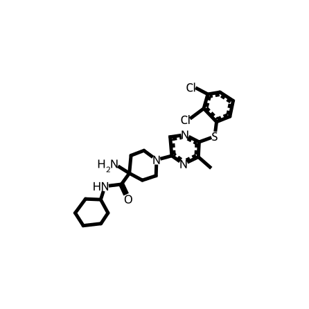 Cc1nc(N2CCC(N)(C(=O)NC3CCCCC3)CC2)cnc1Sc1cccc(Cl)c1Cl